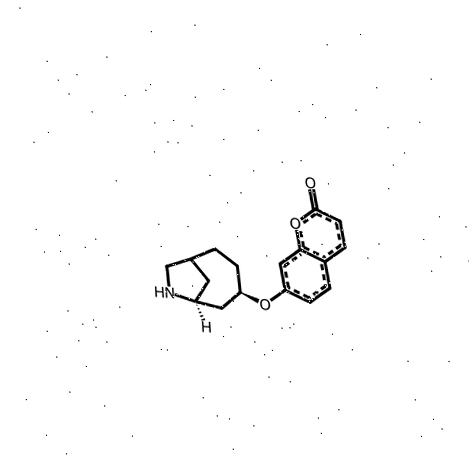 O=c1ccc2ccc(O[C@@H]3CCC4CN[C@@H](C4)C3)cc2o1